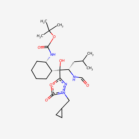 CC(C)C[C@H](NC=O)C(O)(c1nn(CC2CC2)c(=O)o1)[C@@H]1CCCC[C@@H]1NC(=O)OC(C)(C)C